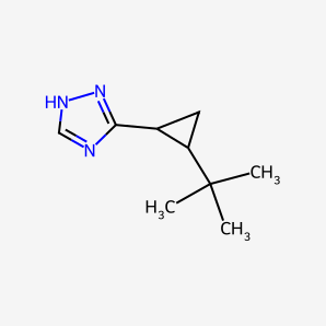 CC(C)(C)C1CC1c1nc[nH]n1